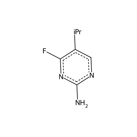 CC(C)c1cnc(N)nc1F